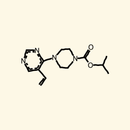 C=Cc1cncnc1N1CCN(C(=O)OC(C)C)CC1